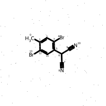 Cc1cc(Br)c(C(C#N)C#N)cc1Br